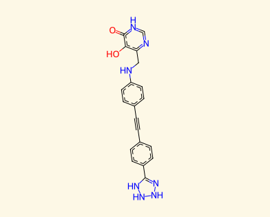 O=c1[nH]cnc(CNc2ccc(C#Cc3ccc(C4=NNNN4)cc3)cc2)c1O